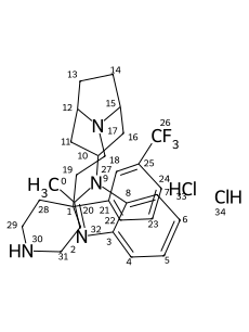 Cc1nc2ccccc2n1C1CC2CCC(C1)N2CCC1(c2cccc(C(F)(F)F)c2)CCNCC1.Cl.Cl